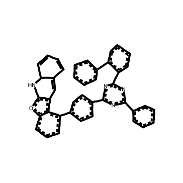 C1=CC2=Cc3c(oc4cccc(-c5ccc(-c6nc(-c7ccccc7)nc(-c7ccccc7-c7ccccc7)n6)cc5)c34)NC2C=C1